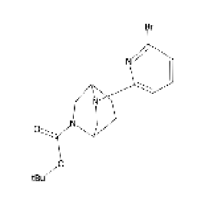 CC(C)(C)OC(=O)N1CC2CCC1CN2c1cccc(Br)n1